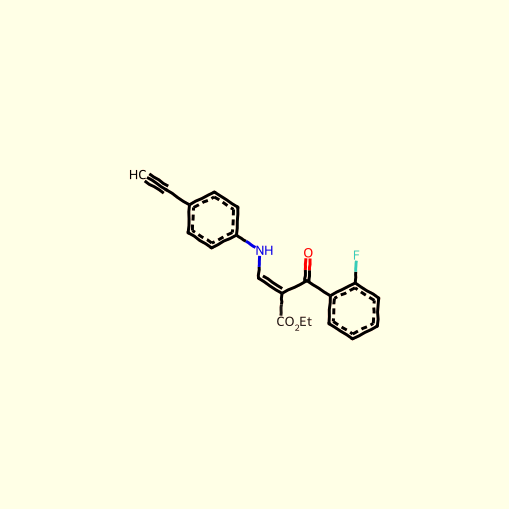 C#Cc1ccc(NC=C(C(=O)OCC)C(=O)c2ccccc2F)cc1